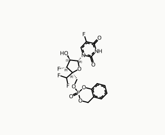 O=c1[nH]c(=O)n([C@@H]2O[C@@](COP3(=O)OCc4ccccc4O3)(C(F)F)[C@H](F)[C@H]2O)cc1F